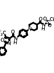 CS(=O)(=O)NC(=O)C1CCN(c2ccc(NC(=O)c3nc(-c4ccccc4)oc3C(F)(F)F)cc2)CC1